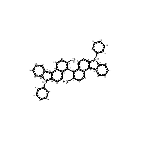 Cc1ccc2c(ccc3c2c2ccccc2n3-c2ccccc2)c1-c1c(C)ccc2c1ccc1c2c2ccccc2n1-c1ccccc1